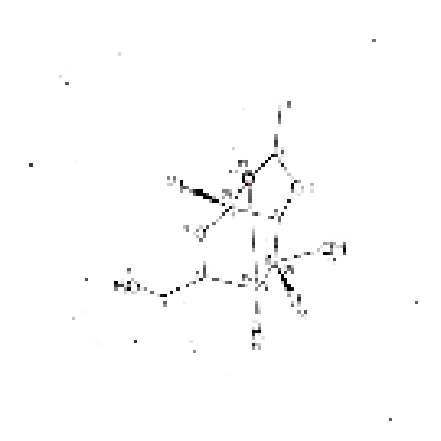 CC12OC3[C@H](OC(CO)[C@@H](O1)[C@H]3O)O2